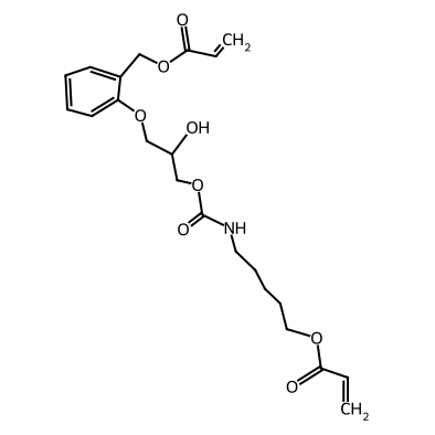 C=CC(=O)OCCCCCNC(=O)OCC(O)COc1ccccc1COC(=O)C=C